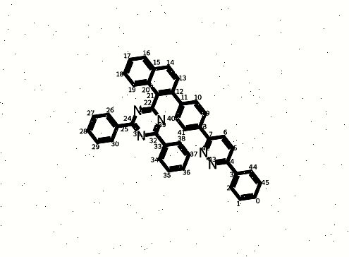 c1ccc(-c2ccc(-c3ccc(-c4ccc5ccccc5c4-c4nc(-c5ccccc5)nc(-c5ccccc5)n4)cc3)nn2)cc1